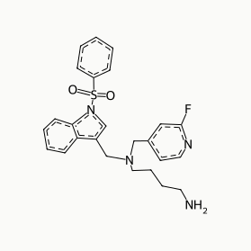 NCCCCN(Cc1ccnc(F)c1)Cc1cn(S(=O)(=O)c2ccccc2)c2ccccc12